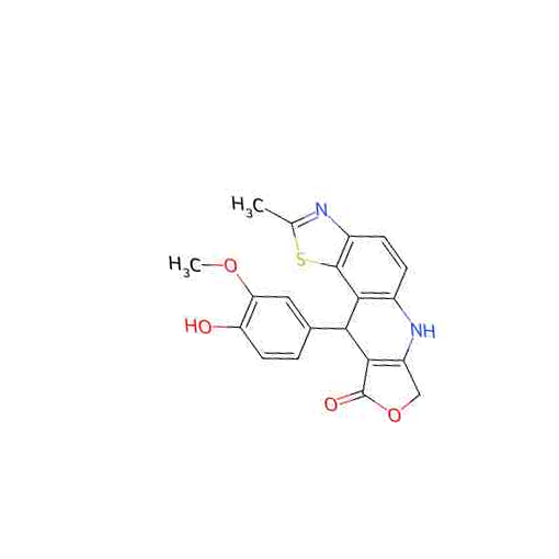 COc1cc(C2C3=C(COC3=O)Nc3ccc4nc(C)sc4c32)ccc1O